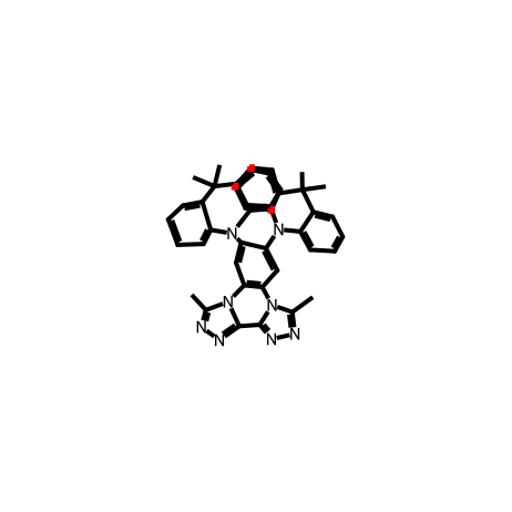 Cc1nnc2c3nnc(C)n3c3cc(N4c5ccccc5C(C)(C)c5ccccc54)c(N4c5ccccc5C(C)(C)c5ccccc54)cc3n12